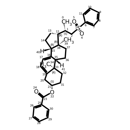 C[C@H](CS(=O)(=O)c1ccccc1)[C@H]1CC[C@H]2C3=CC=C4C[C@@H](OC(=O)c5ccccc5)CC[C@]4(C)[C@H]3CC[C@]12C